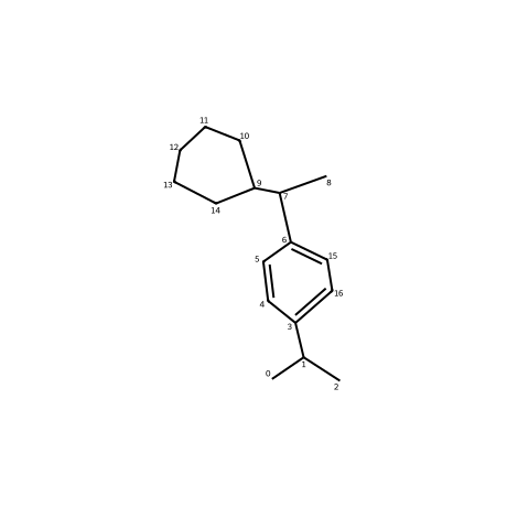 CC(C)c1ccc(C(C)C2CCCCC2)cc1